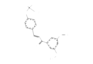 COc1cc(OC)cc(C(=O)/C=C/c2ccc(OC(C)(C)C)cc2)c1